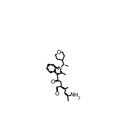 C/C(N)=C/C(C)=C(\C=O)CC(=O)c1c(C)n([C@H](C)C2CCOCC2)c2ccccc12